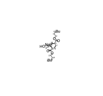 CCC(C)CCOC(=O)c1ccc(C(=O)OCCC(C)CC)c(S(=O)(=O)O)c1.[NaH]